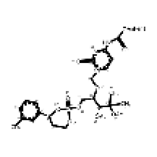 CCCCCOC(=O)Nc1ccn(CO[C@H](COP2(=O)OCC[C@@H](c3cccc(Cl)c3)O2)[C@@H](OC(C)=O)C(C)(C)OC(C)=O)c(=O)n1